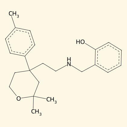 Cc1ccc(C2(CCNCc3ccccc3O)CCOC(C)(C)C2)cc1